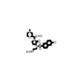 CC(=O)NCCN([C@H]1CCN([C@H](C=O)C2CN(C)CCO2)C1=O)S(=O)(=O)c1ccc2cc(Cl)ccc2c1